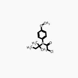 CCC(C)(C)N(C(=O)CCl)c1ccc(OC)cc1